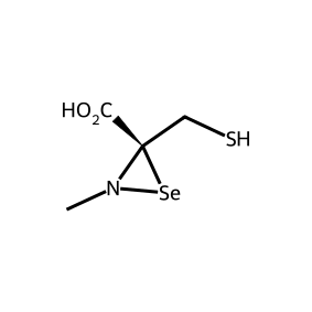 CN1[Se][C@]1(CS)C(=O)O